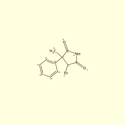 CCC1C(=O)NC(=O)C1(C)c1ccccc1